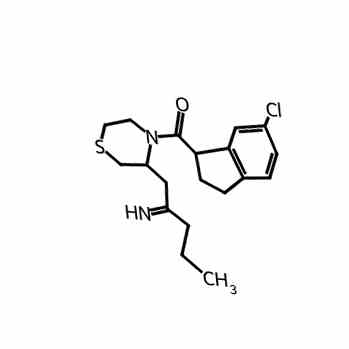 CCCC(=N)CC1CSCCN1C(=O)C1CCc2ccc(Cl)cc21